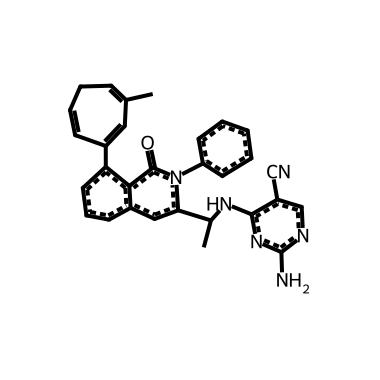 CC1=CCC=CC(c2cccc3cc(C(C)Nc4nc(N)ncc4C#N)n(-c4ccccc4)c(=O)c23)=C1